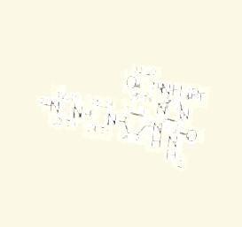 CC(C)c1nc(C(N)=O)c(Nc2ccc(N3CCC(N4CCN(C)CC4)CC3)cc2)nc1NC1CCOCC1